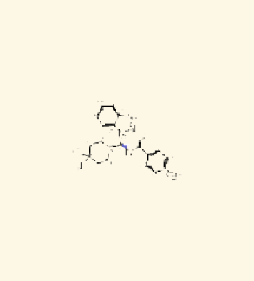 O=C(/N=C(/N1CCC(F)(F)CC1)n1nnc2ccccc21)c1ccc(Br)cc1